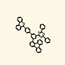 c1ccc(-c2nc(-c3ccccc3)nc(-c3cc(-c4ccc(-c5nc6ccccc6c6ccccc56)cc4)cc(-c4cccc5c6ccccc6c6ccccc6c45)c3)n2)cc1